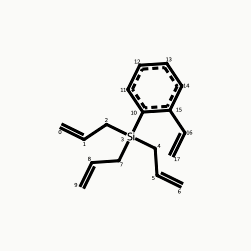 C=CC[Si](CC=C)(CC=C)c1ccccc1C=C